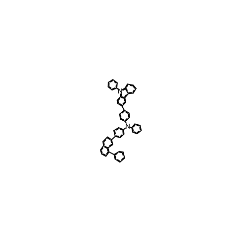 c1ccc(-c2cccc3ccc(-c4ccc(N(c5ccccc5)c5ccc(-c6ccc7c(c6)c6ccccc6n7-c6ccccc6)cc5)cc4)cc23)cc1